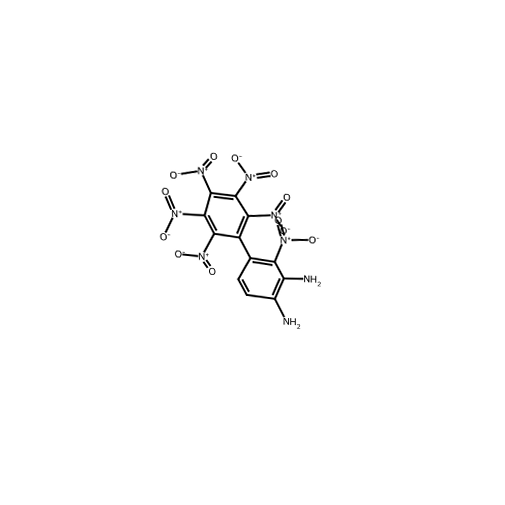 Nc1ccc(-c2c([N+](=O)[O-])c([N+](=O)[O-])c([N+](=O)[O-])c([N+](=O)[O-])c2[N+](=O)[O-])c([N+](=O)[O-])c1N